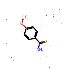 NC(=S)c1ccc(OC(F)(F)F)cc1